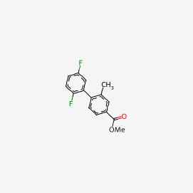 COC(=O)c1ccc(-c2cc(F)ccc2F)c(C)c1